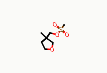 CC1(COS(C)(=O)=O)CCOC1